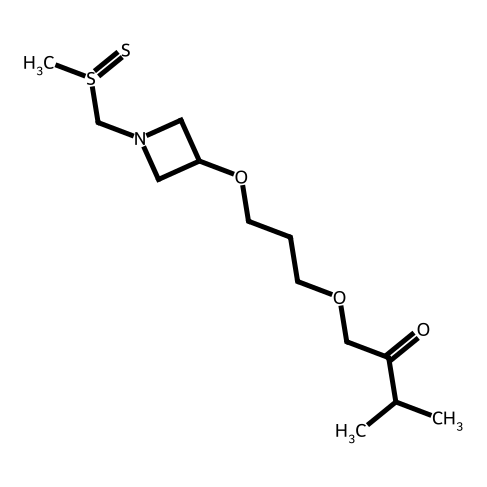 CC(C)C(=O)COCCCOC1CN(CS(C)=S)C1